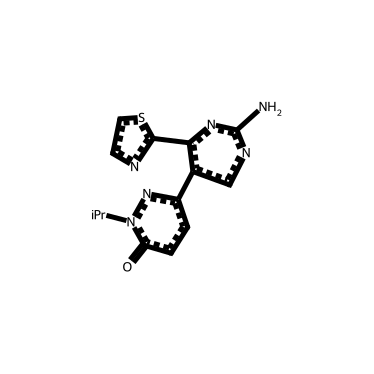 CC(C)n1nc(-c2cnc(N)nc2-c2nccs2)ccc1=O